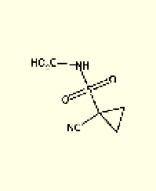 N#CC1(S(=O)(=O)NC(=O)O)CC1